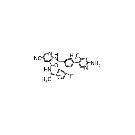 Cc1cc(N)ncc1-c1ccc(CNc2ncc(C#N)cc2C(=O)N[C@@H](C)c2ccc(F)cc2)cc1